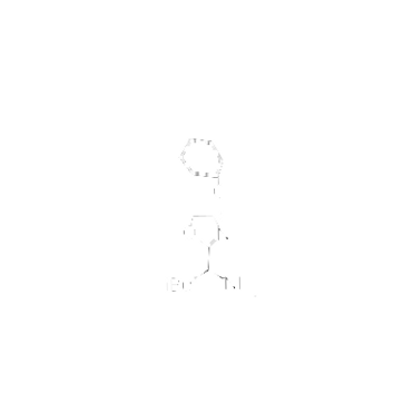 CC[C@H](C)[C@H](N)C1=N[C@@H](Cc2ccccc2)CO1